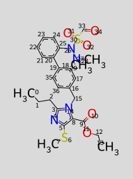 CCCc1nc(SC)c(C(=O)OCC)n1Cc1ccc(-c2ccccc2N(N(C)C)S(=O)(=O)C=O)cc1